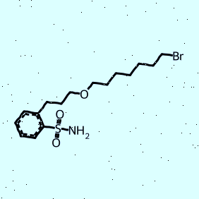 NS(=O)(=O)c1ccccc1CCCOCCCCCCCBr